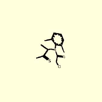 CC(=S)C(C)N(C(=O)CCl)c1c(C)cccc1C